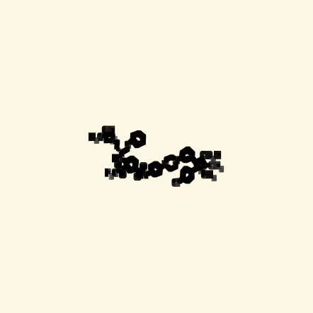 Cc1c(C(=O)O)c(-c2cccc(N3CCN(c4ccc(NS(=O)(=O)c5ccc(N[C@H](CCN6CC(C)(O)C6)CSc6ccccc6)c(S(=O)(=O)C(F)(F)F)c5)cc4)CC3)c2)c(-c2ccc(Cl)cc2)n1C